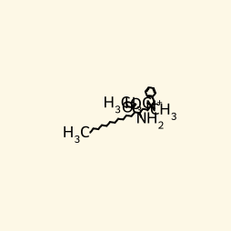 CCCCCCCCCCCCC(C(=O)OC)C(N)CC[N+](C)(C)Cc1ccccc1